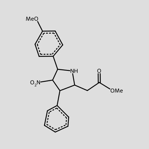 COC(=O)CC1NC(c2ccc(OC)cc2)C([N+](=O)[O-])C1c1ccccc1